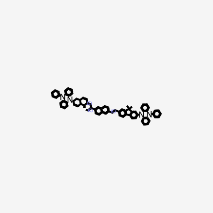 C=C1/C(=C\C(=C/C)c2ccc3cc(/C=C/c4ccc5c(c4)C(C)(C)c4cc(N6c7ccccc7N(c7ccccc7)c7ccccc76)ccc4-5)ccc3c2)C=CC2CC(N3c4ccccc4N(c4ccccc4)c4ccccc43)C=CC12